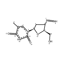 Cc1cn([C@H]2CC(N=N)[C@@H](CO)O2)c(=O)[nH]c1=O